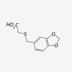 O=C(O)CSCc1ccc2c(c1)OCO2